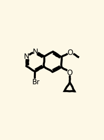 COc1cc2nncc(Br)c2cc1OC1CC1